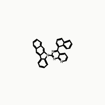 c1ccc2cc3c(cc2c1)c1ccccc1n3-c1nc(-c2cccc3ccccc23)c2cccnc2n1